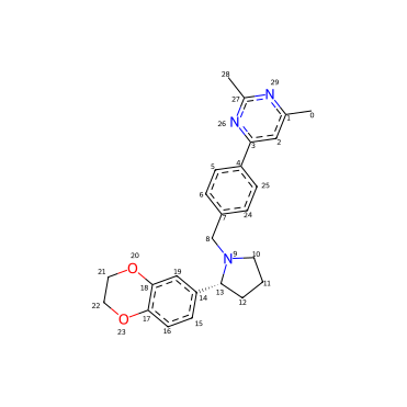 Cc1cc(-c2ccc(CN3CCC[C@@H]3c3ccc4c(c3)OCCO4)cc2)nc(C)n1